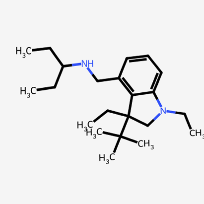 CCC(CC)NCc1cccc2c1C(CC)(C(C)(C)C)CN2CC